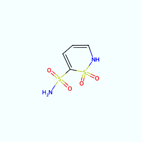 NS(=O)(=O)C1=CC=CNS1(=O)=O